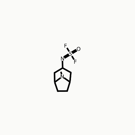 CN1C2CCC1CC(N=S(=O)(F)F)C2